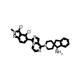 Cn1nc2ccc(-c3ncc4c(N5CCC6(CC5)Cc5ccccc5[C@H]6N)nccn34)c(Cl)c2c1Cl